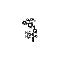 CC(=O)c1nc(Sc2coc(N(C(=O)O)C(C)C)c2)ncc1-n1cccc1